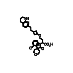 O=C(O)[C@H](CCOC1CC(CCc2ccc3c(n2)NCCC3)C1)NC(=O)C1(c2ccccc2Cl)CCOCC1